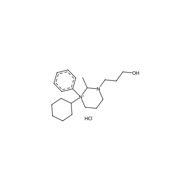 CC1N(CCCO)CCC[N+]1(c1ccccc1)C1CCCCC1.Cl